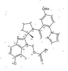 COc1ccc(-n2nccn2)c(C(=S)N2CCC[C@@]2(C)c2nc3ccc(Cl)c(C)c3n2COC(=O)C(C)C)c1